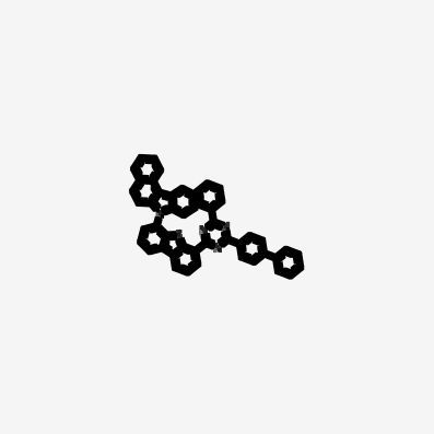 c1ccc(-c2ccc(-c3nc(-c4ccccc4)nc(-c4cccc5c4sc4c(-n6c7ccccc7c7c8ccccc8ccc76)cccc45)n3)cc2)cc1